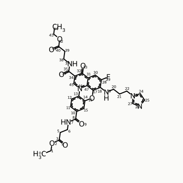 CCOC(=O)CCNC(=O)c1ccc2c(c1)Oc1c(NCCCn3ccnc3)c(F)cc3c(=O)c(C(=O)NCCC(=O)OCC)cn-2c13